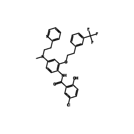 CN(CCc1ccccn1)c1ccc(NC(=O)c2cc(Cl)ccc2O)c(OCCc2cccc(C(F)(F)F)c2)c1